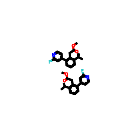 C=C(C)c1cccc(-c2ccnc(F)c2)c1CC(=O)OC.COC(=O)Cc1c(-c2ccnc(F)c2)cccc1C(C)C